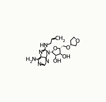 C=CCNc1nc2c(N)ncnc2n1[C@@H]1O[C@H](CO[C@@H]2CCOC2)[C@@H](O)[C@H]1O